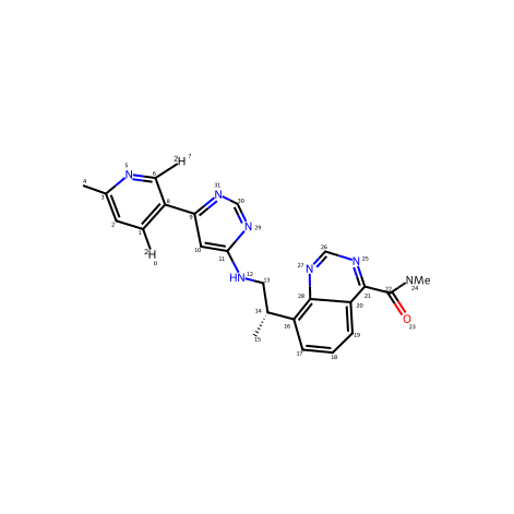 [2H]c1cc(C)nc([2H])c1-c1cc(NC[C@@H](C)c2cccc3c(C(=O)NC)ncnc23)ncn1